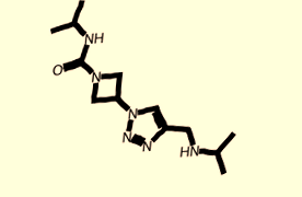 CC(C)NCc1cn(C2CN(C(=O)NC(C)C)C2)nn1